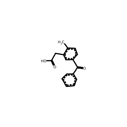 Cc1ccc(C(=O)c2ccccc2)cc1CC(=O)O